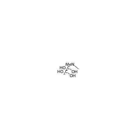 CNC.O=C(O)O.O=C(O)O